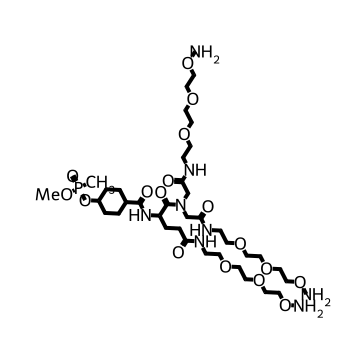 COP(C)(=O)OC1CCC(C(=O)NC(CCC(=O)NCCOCCOCCON)C(=O)N(CC(=O)NCCOCCOCCON)CC(=O)NCCOCCOCCON)CC1